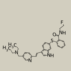 CCN(CC)Cc1ccc(C=Cc2c[nH]c3cc(Sc4ccccc4C(=O)NCCF)ccc23)nc1